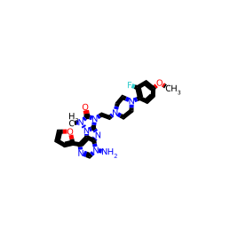 COc1ccc(N2CCN(CCN3C(=O)N(C)N4C5=C(c6ccco6)N=CN(N)C5=NC34)CC2)c(F)c1